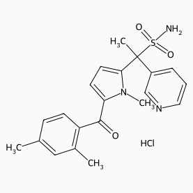 Cc1ccc(C(=O)c2ccc(C(C)(c3cccnc3)S(N)(=O)=O)n2C)c(C)c1.Cl